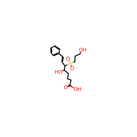 O=C(O)CCCC(O)C(C=Cc1ccccc1)S(=O)(=O)CCCO